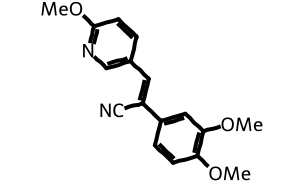 COc1ccc(/C=C(\C#N)c2ccc(OC)c(OC)c2)cn1